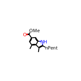 CCCCCc1[nH]c2cc(C(=O)OC)cc(C)c2c1C